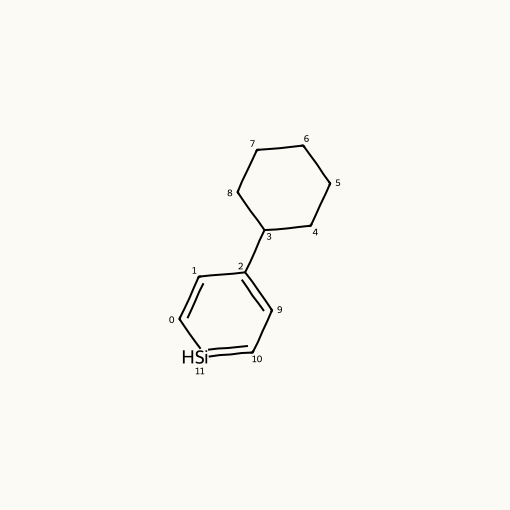 c1cc(C2CCCCC2)cc[siH]1